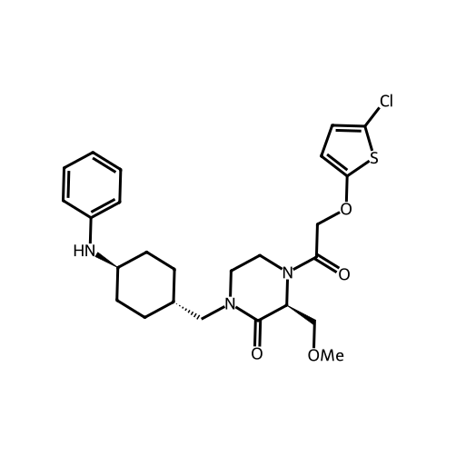 COC[C@H]1C(=O)N(C[C@H]2CC[C@H](Nc3ccccc3)CC2)CCN1C(=O)COc1ccc(Cl)s1